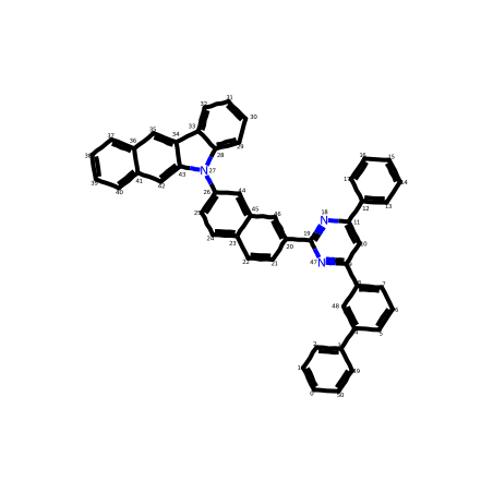 c1ccc(-c2cccc(-c3cc(-c4ccccc4)nc(-c4ccc5ccc(-n6c7ccccc7c7cc8ccccc8cc76)cc5c4)n3)c2)cc1